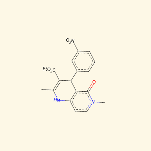 CCOC(=O)C1=C(C)Nc2ccn(C)c(=O)c2C1c1cccc([N+](=O)[O-])c1